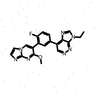 CCn1cnc2c(-c3ccc(F)c(-c4cn5ccnc5nc4OC)c3)cnnc21